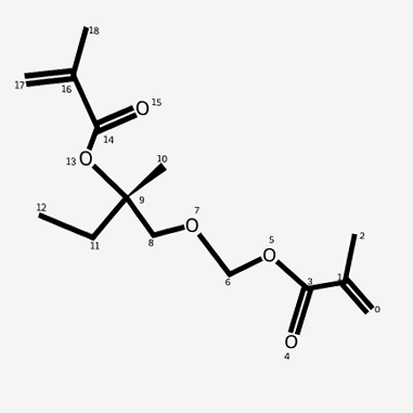 C=C(C)C(=O)OCOC[C@](C)(CC)OC(=O)C(=C)C